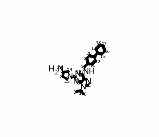 CC(C)n1cnc2c(NCc3ccc(-c4ccccc4)cc3)nc(N3CC[C@@H](N)C3)nc21